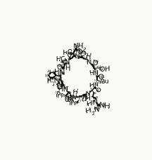 CC[C@H](C)[C@@H]1NC(=O)[C@@H](CCCNC(=N)N)NC(=O)[C@H](CC(C)C)NC(=O)[C@H]([C@H](O)C(C)C)NC(=O)[C@@H](N)[C@@H](c2ccccc2)NC(=O)[C@H](CO)NC(=O)C([C@H](O)C(N)=O)NC(=O)CNC(=O)[C@H](CO)NC1=O